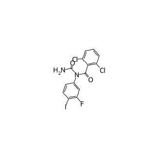 NC(=O)N(C(=O)c1c(Cl)cccc1Cl)c1ccc(I)c(F)c1